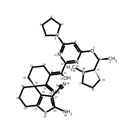 C[C@H](Oc1cc(N2CCCC2)nc(/C(O)=C2\CCC[C@@]3(CCCc4sc(N)c(C#N)c43)C2=N)n1)[C@@H]1CCCN1C